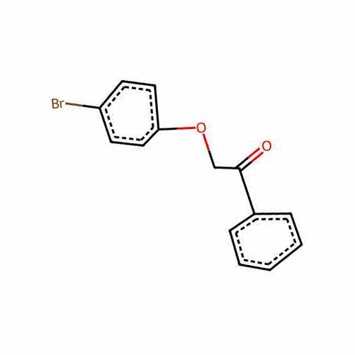 O=C(COc1ccc(Br)cc1)c1ccccc1